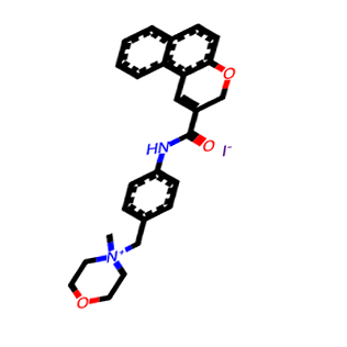 C[N+]1(Cc2ccc(NC(=O)C3=Cc4c(ccc5ccccc45)OC3)cc2)CCOCC1.[I-]